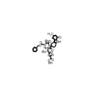 CCCOC(=O)c1noc([C@@H](NC(=O)[C@]2(NC(=O)[C@@H](NC(=O)OCc3ccccc3)C(C)CC)CCc3[nH]c4c(Cl)cc(C)cc4c3C2)C(C)CC)n1